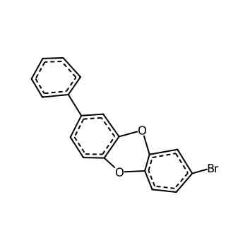 Brc1ccc2c(c1)Oc1cc(-c3ccccc3)ccc1O2